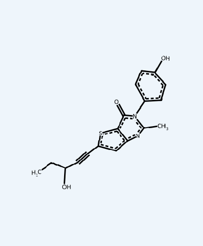 CCC(O)C#Cc1cc2nc(C)n(-c3ccc(O)cc3)c(=O)c2s1